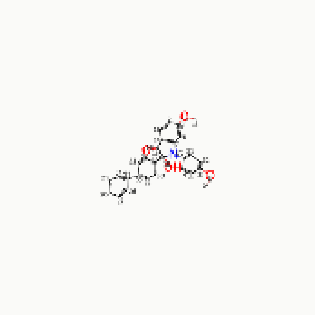 COc1ccc(N2c3cc(OC)ccc3C(=O)C2(O)c2ccc(-c3ccccc3)cc2)cc1